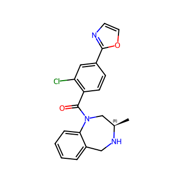 C[C@@H]1CN(C(=O)c2ccc(-c3ncco3)cc2Cl)c2ccccc2CN1